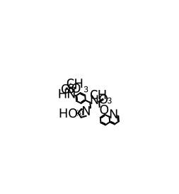 CN(C(=O)COc1cccc2cccnc12)C(CN1CC[C@H](O)C1)c1ccc(NS(C)(=O)=O)cc1